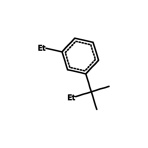 CCc1cccc(C(C)(C)CC)c1